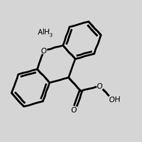 O=C(OO)C1c2ccccc2Oc2ccccc21.[AlH3]